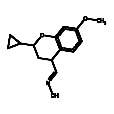 COc1ccc2c(c1)OC(C1CC1)CC2C=NO